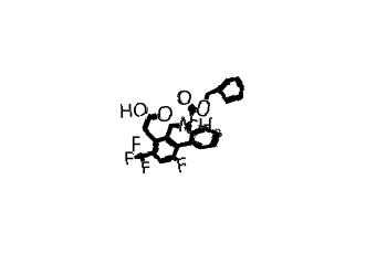 CN(Cc1c(CC(=O)O)c(C(F)(F)F)cc(F)c1-c1ccccc1)C(=O)OCc1ccccc1